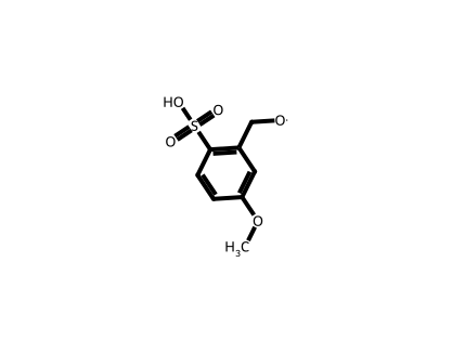 COc1ccc(S(=O)(=O)O)c(C[O])c1